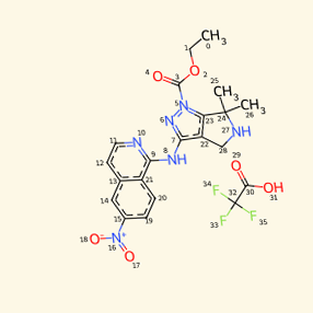 CCOC(=O)n1nc(Nc2nccc3cc([N+](=O)[O-])ccc23)c2c1C(C)(C)NC2.O=C(O)C(F)(F)F